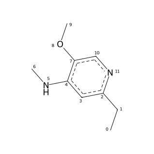 CCc1cc(NC)c(OC)cn1